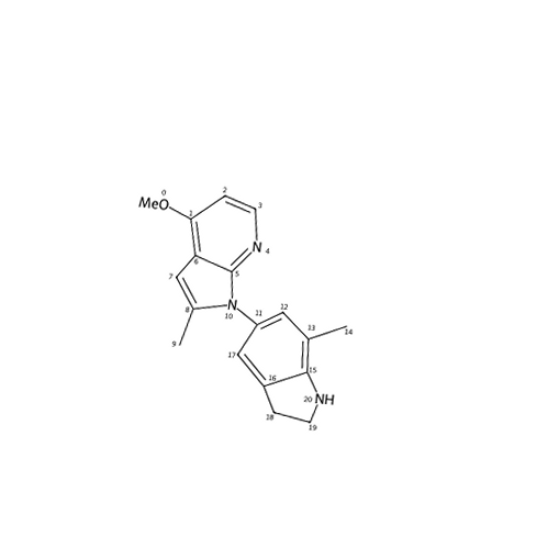 COc1ccnc2c1cc(C)n2-c1cc(C)c2c(c1)CCN2